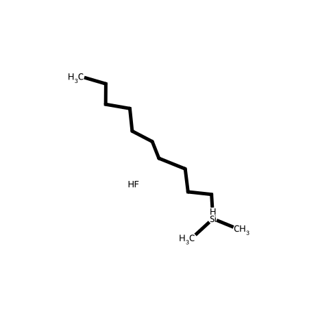 CCCCCCCCCC[SiH](C)C.F